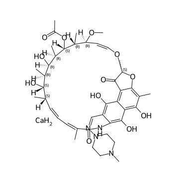 CO[C@H]1C=CO[C@@]2(C)Oc3c(C)c(O)c4c(O)c(c(C=NN5CCN(C)CC5)c(O)c4c3C2=O)NC(=O)C(C)=CC=C[C@H](C)[C@H](O)[C@@H](C)[C@@H](O)[C@@H](C)[C@H](OC(C)=O)[C@@H]1C.[CaH2]